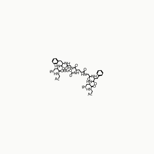 CC(=O)CNC(=O)C(CC(C)C)NC(=O)C(Cc1ccccc1)NC(=O)CNC(=O)CCC(NC(=O)OC(C)(C)C)C(=O)NCC(=O)NC(Cc1ccccc1)C(=O)NC(CC(C)C)C(=O)NCC(C)=O